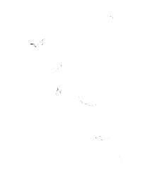 Cc1cccc(-c2nc(N)sc2-c2ccnc(NCc3ccc(Cl)cc3)c2)c1